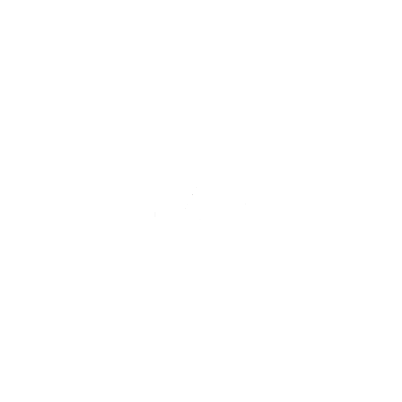 CC(C)C1C=C2OCC2C1